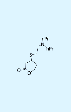 CCCN(CCC)CCSC1CCOC(=O)C1